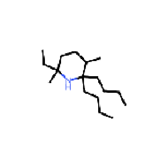 CCCCC1(CCCC)NC(C)(CC)CCC1C